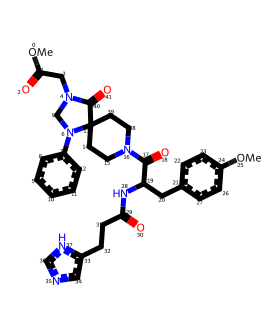 COC(=O)CN1CN(c2ccccc2)C2(CCN(C(=O)C(Cc3ccc(OC)cc3)NC(=O)CCc3cnc[nH]3)CC2)C1=O